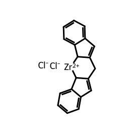 C1=C2CC3=Cc4ccccc4[CH]3[Zr+2][CH]2c2ccccc21.[Cl-].[Cl-]